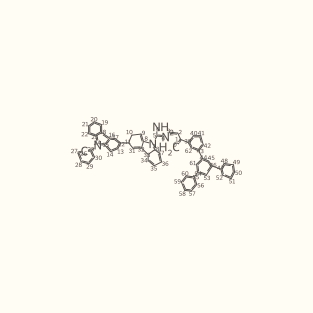 C=C(/C=C\N=C(/N)N1C2=CCC(c3ccc4c(c3)c3ccccc3n4-c3ccccc3)C=C2C2C=CC=CC21)c1cccc(-c2cc(-c3ccccc3)cc(-c3ccccc3)c2)c1